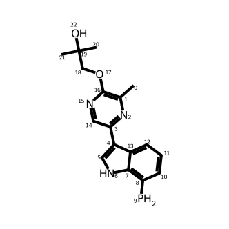 Cc1nc(-c2c[nH]c3c(P)cccc23)cnc1OCC(C)(C)O